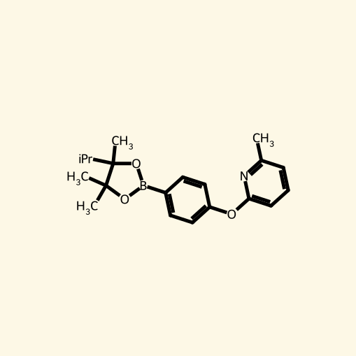 Cc1cccc(Oc2ccc(B3OC(C)(C)C(C)(C(C)C)O3)cc2)n1